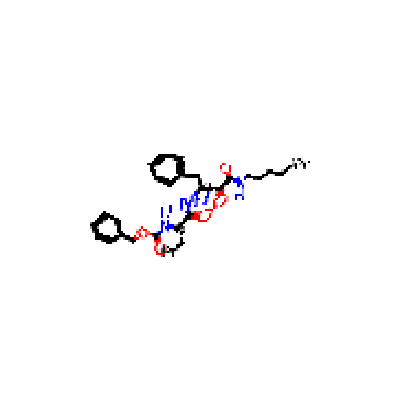 CC(C)CCCCNC(=O)C(=O)[C@H](Cc1ccccc1)NC(=O)[C@H](CC(C)C)NC(=O)OCc1ccccc1